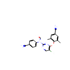 Cc1cc(C#N)cc(C)c1Oc1nc(N(C=O)c2ccc(C#N)cc2)ncc1Br